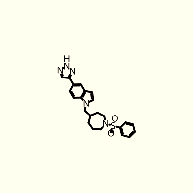 O=S(=O)(c1ccccc1)N1CCCC(Cn2ccc3cc(-c4cn[nH]n4)ccc32)CC1